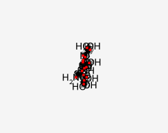 Nc1nc(C(=NOC(C(=O)O)c2ccc(O)c(O)c2)C(=O)N[C@@H]2C(=O)N3C(OC(=O)O)=C(CSc4ncc(-c5ccc(O)c(O)c5)o4)CS[C@@H]23)cs1